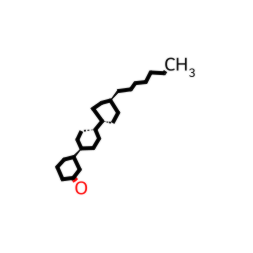 CCCCCCC[C@H]1CC[C@H]([C@H]2CC[C@H](C3CCCC(=O)C3)CC2)CC1